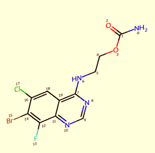 NC(=O)OCCNc1ncnc2c(F)c(Br)c(Cl)cc12